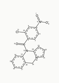 O=C(c1ccc([N+](=O)[O-])cc1Cl)N1c2ccccc2Cn2cccc21